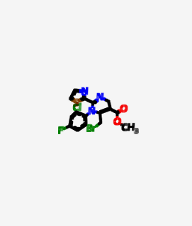 COC(=O)C1=C(CBr)N(c2ccc(F)cc2Cl)C(c2nccs2)=NC1